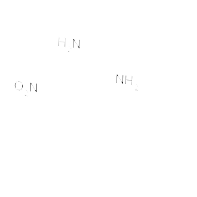 NC(N)=C(Cc1ccccc1)[N+](=O)[O-]